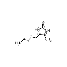 Cc1[nH]c(=S)[nH]c1CCCCN